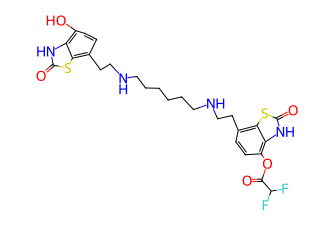 O=C(Oc1ccc(CCNCCCCCCNCCc2ccc(O)c3[nH]c(=O)sc23)c2sc(=O)[nH]c12)C(F)F